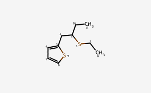 CCSC([CH]c1cccs1)CC